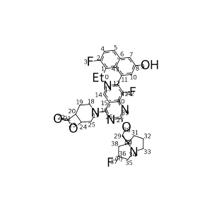 CCc1c(F)ccc2cc(O)cc(-c3ncc4c(N5CCC6C(=O)OC6C5)nc(OC[C@@]56CCCN5C[C@H](F)C6)nc4c3F)c12